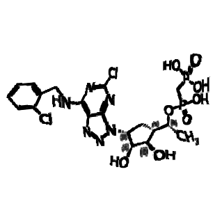 C[C@@H](OP(=O)(O)CP(=O)(O)O)[C@H]1C[C@@H](n2nnc3c(NCc4ccccc4Cl)nc(Cl)nc32)[C@H](O)[C@@H]1O